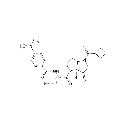 CC(C)C[C@H](NC(=O)c1ccc(N(C)C)cc1)C(=O)N1CCC2[C@H]1C(=O)CN2C(=O)C1CCC1